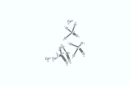 O=P([O-])([O-])[O-].O=P([O-])([O-])[O-].[Ca+2].[Ca+2].[Ca+2].[Ca+2].[O]=[Al][O-].[O]=[Al][O-]